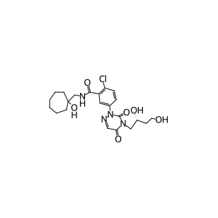 O=C(NCC1(O)CCCCCC1)c1cc(-n2ncc(=O)n(C[C@H](O)CCO)c2=O)ccc1Cl